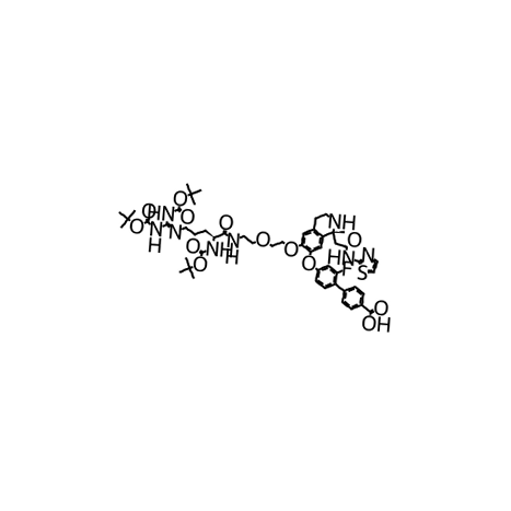 CC(C)(C)OC(=O)NC(=NCCC[C@H](NC(=O)OC(C)(C)C)C(=O)NCCOCCOc1cc2c(cc1Oc1ccc(-c3ccc(C(=O)O)cc3)c(F)c1)[C@@](C)(CC(=O)Nc1nccs1)NCC2)NC(=O)OC(C)(C)C